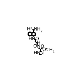 CCOC(=O)C(CNC(=O)CCC(=O)Nc1ccc(C(=N)N)c2ccccc12)c1ncc[nH]1